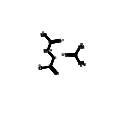 C=C(Cl)CNC(O)=S.NC(O)=S